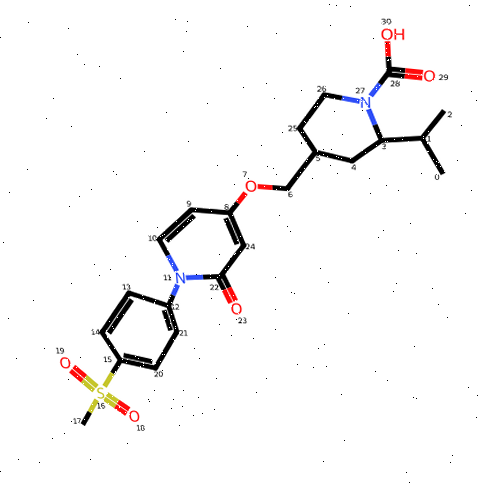 CC(C)C1CC(COc2ccn(-c3ccc(S(C)(=O)=O)cc3)c(=O)c2)CCN1C(=O)O